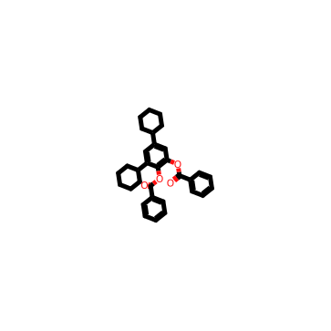 O=C(Oc1cc(C2CCCCC2)cc(C2CCCCC2)c1OC(=O)c1ccccc1)c1ccccc1